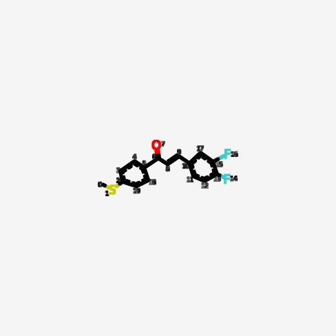 CSc1ccc(C(=O)C=Cc2ccc(F)c(F)c2)cc1